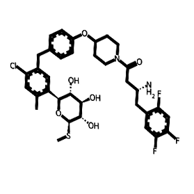 CS[C@H]1O[C@@H](c2cc(Cc3ccc(OC4CCN(C(=O)C[C@H](N)Cc5cc(F)c(F)cc5F)CC4)cc3)c(Cl)cc2C)[C@H](O)[C@@H](O)[C@@H]1O